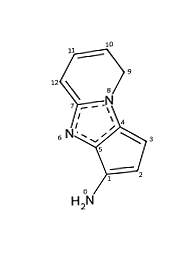 NC1=CC=c2c1nc1n2CC=CC=1